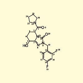 O=C(C1CCC(O)c2nn(Cc3ncc(F)cc3F)c(=O)n21)N1CCCC1